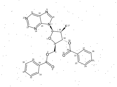 O=C(OC[C@H]1O[C@@H](n2cnc3cncnc32)[C@@H](F)[C@@H]1OC(=O)c1ccccc1)c1ccccc1